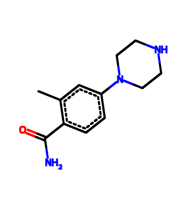 Cc1cc(N2CCNCC2)ccc1C(N)=O